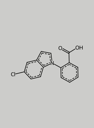 O=C(O)c1ccccc1-n1ccc2cc(Cl)ccc21